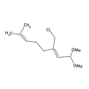 COC(/C=C(\CCl)CCC=C(C)C)OC